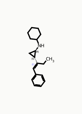 CC/C(=C\c1ccccc1)[C@@H]1C[C@H]1NC1CCCCC1